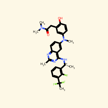 Cc1nc(N[C@H](C)c2cccc(C(C)(F)F)c2F)c2cc(N(C)c3ccc(O)c(CC(=O)N(C)C)c3)ccc2n1